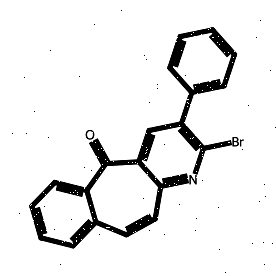 O=c1c2ccccc2ccc2nc(Br)c(-c3ccccc3)cc12